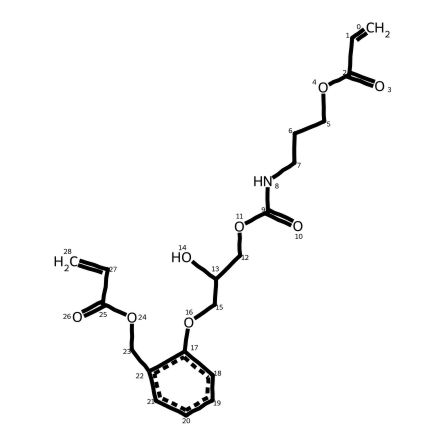 C=CC(=O)OCCCNC(=O)OCC(O)COc1ccccc1COC(=O)C=C